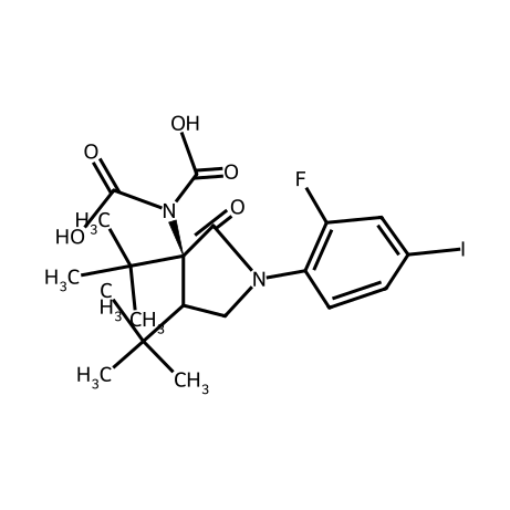 CC(C)(C)C1CN(c2ccc(I)cc2F)C(=O)[C@@]1(N(C(=O)O)C(=O)O)C(C)(C)C